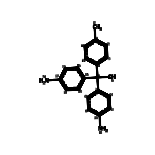 Cc1ccc(C(O)(c2ccc(N)cc2)c2ccc(N)cc2)cc1